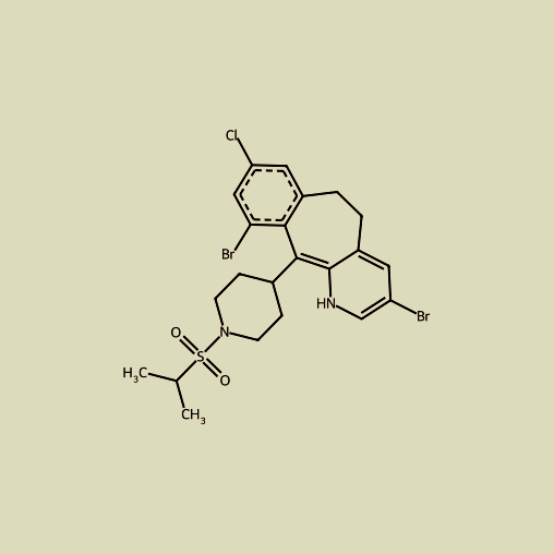 CC(C)S(=O)(=O)N1CCC(C2=C3NC=C(Br)C=C3CCc3cc(Cl)cc(Br)c32)CC1